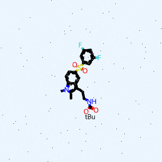 Cc1c(CCNC(=O)OC(C)(C)C)c2cc(S(=O)(=O)c3cc(F)cc(F)c3)ccc2n1C